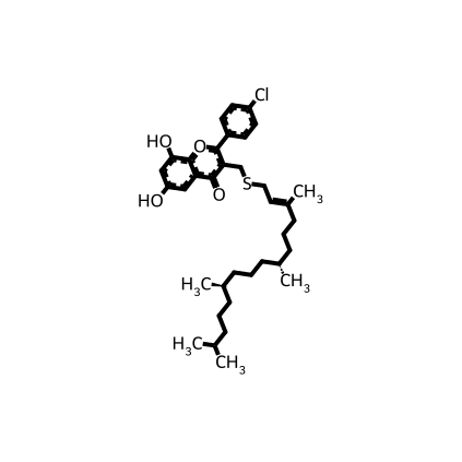 C/C(=C\CSCc1c(-c2ccc(Cl)cc2)oc2c(O)cc(O)cc2c1=O)CCC[C@H](C)CCC[C@H](C)CCCC(C)C